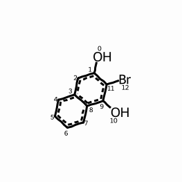 Oc1cc2ccccc2c(O)c1Br